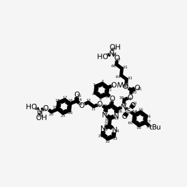 COc1ccccc1Oc1c(OCCOC(=O)c2ccc(CON(O)O)cc2)nc(-c2ncccn2)nc1N(COC(=O)OCCCCON(O)O)S(=O)(=O)c1ccc(C(C)(C)C)cc1